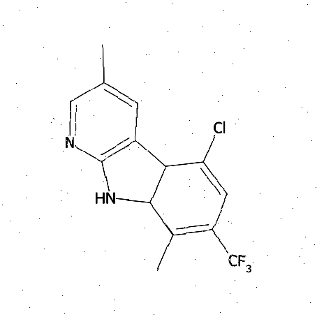 CC1=C(C(F)(F)F)C=C(Cl)C2c3cc(C)cnc3NC12